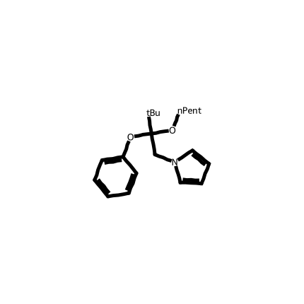 CCCCCOC(Cn1cccc1)(Oc1ccccc1)C(C)(C)C